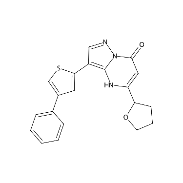 O=c1cc(C2CCCO2)[nH]c2c(-c3cc(-c4ccccc4)cs3)cnn12